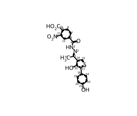 C/C(=N\NC(=O)c1ccc(C(=O)O)c([N+](=O)[O-])c1)c1csc(-c2ccc(O)cc2)c1O